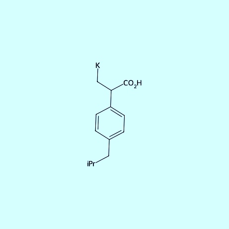 CC(C)Cc1ccc(C([CH2][K])C(=O)O)cc1